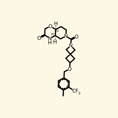 Cc1ccc(COC2CC3(C2)CN(C(=O)N2CC[C@@H]4OCC(=O)N[C@@H]4C2)C3)cc1C(F)(F)F